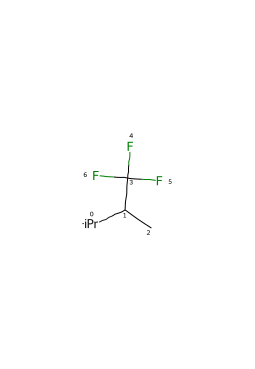 C[C](C)C(C)C(F)(F)F